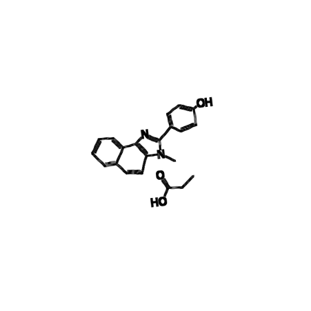 CCC(=O)O.Cn1c(-c2ccc(O)cc2)nc2c3ccccc3ccc21